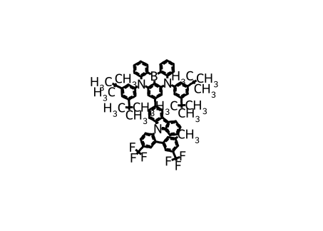 Cc1cc(-c2cc(C(F)(F)F)ccc2-n2c3ccccc3c3cc(-c4cc5c6c(c4)N(c4cc(C(C)(C)C)cc(C(C)(C)C)c4)c4ccccc4B6c4ccccc4N5c4cc(C(C)(C)C)cc(C(C)(C)C)c4)ccc32)cc(C(F)(F)F)c1